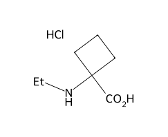 CCNC1(C(=O)O)CCC1.Cl